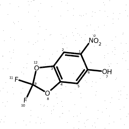 O=[N+]([O-])c1cc2c(cc1O)OC(F)(F)O2